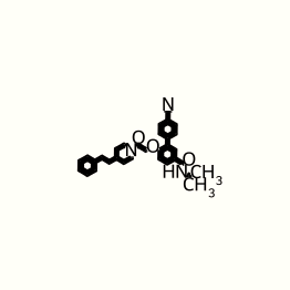 CC(C)NC(=O)c1ccc(OCC(=O)N2CCC(CCc3ccccc3)CC2)c(-c2ccc(C#N)cc2)c1